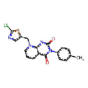 Cc1ccc(-n2c(=O)nc3n(Cc4cnc(Cl)s4)cccc-3c2=O)cc1